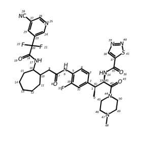 C[C@@H](c1ccc(NC(=O)CC2CCCCCC2NC(=O)C(F)(F)c2cncc(C#N)c2)c(F)c1)[C@@H](NC(=O)c1cnns1)C(=O)N1CCN(C)CC1